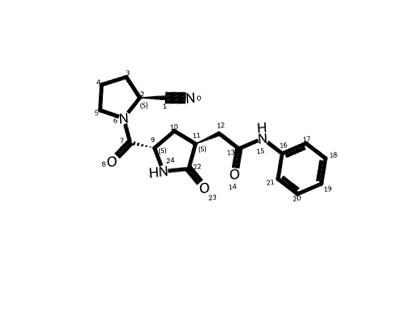 N#C[C@@H]1CCCN1C(=O)[C@@H]1C[C@@H](CC(=O)Nc2ccccc2)C(=O)N1